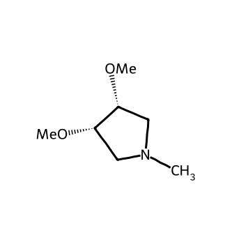 CO[C@H]1CN(C)C[C@H]1OC